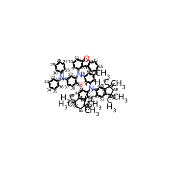 Cc1cc2c3c(c1)N(c1cccc4oc5ccccc5c14)c1cc(N(c4ccccc4)c4ccccc4)ccc1B3c1cc3c(cc1N2c1cc2c(cc1C)C(C)(C)CC2(C)C)C(C)(C)CCC3(C)C